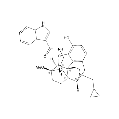 CO[C@]12CC[C@@]3(C[C@@H]1CNC(=O)C1=CNC4C=CC=CC14)[C@H]1Cc4ccc(O)c5c4[C@@]3(CCN1CC1CC1)[C@H]2O5